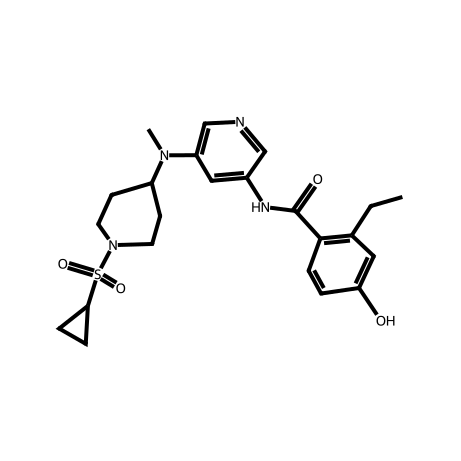 CCc1cc(O)ccc1C(=O)Nc1cncc(N(C)C2CCN(S(=O)(=O)C3CC3)CC2)c1